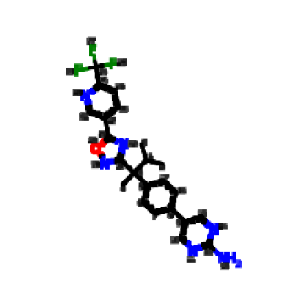 CC(C)C(C)(c1ccc(-c2cnc(N)nc2)cc1)c1noc(-c2ccc(C(F)(F)F)nc2)n1